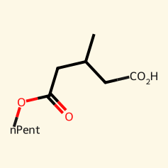 CCCCCOC(=O)CC(C)CC(=O)O